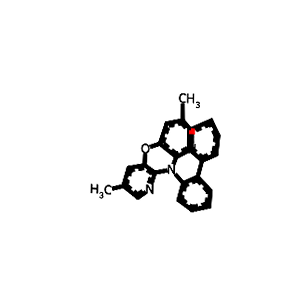 Cc1cnc2c(c1)Oc1cc(C)cnc1N2c1ccccc1-c1ccccc1